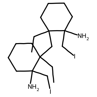 CCC1(CC2(CC)CCCCC2(N)CI)CCCCC1(N)CI